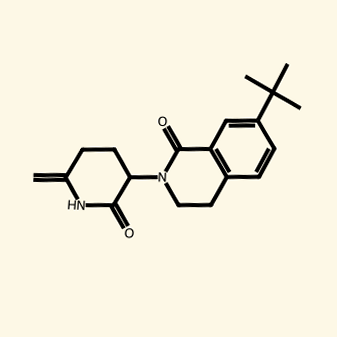 C=C1CCC(N2CCc3ccc(C(C)(C)C)cc3C2=O)C(=O)N1